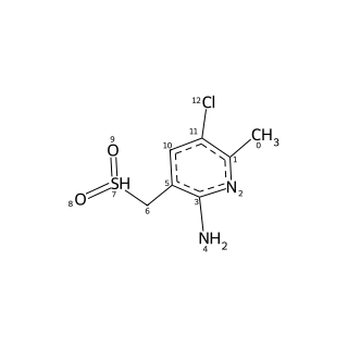 Cc1nc(N)c(C[SH](=O)=O)cc1Cl